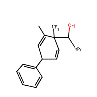 CCCC(O)C1(C(F)(F)F)C=CC(c2ccccc2)C=C1C